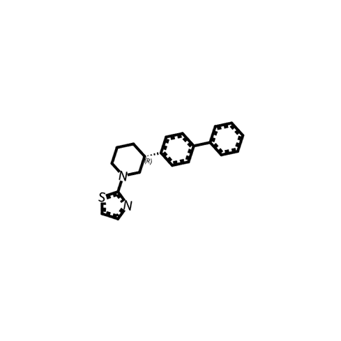 c1ccc(-c2ccc([C@H]3CCCN(c4nccs4)C3)cc2)cc1